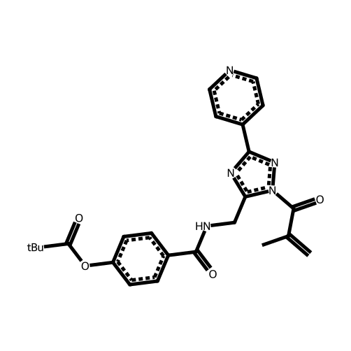 C=C(C)C(=O)n1nc(-c2ccncc2)nc1CNC(=O)c1ccc(OC(=O)C(C)(C)C)cc1